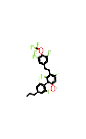 CCCc1cc(F)c(-c2c([O])cc(F)c(CCc3cc(F)c(OC(F)(F)F)c(F)c3)c2F)c(F)c1